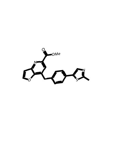 COC(=O)c1cc(Cc2ccc(-c3cnc(C)s3)cc2)c2occc2n1